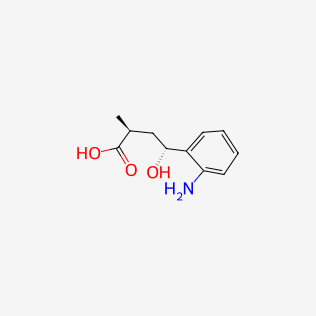 C[C@@H](C[C@@H](O)c1ccccc1N)C(=O)O